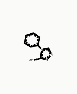 CCCc1nn[c]n1-c1ccccc1